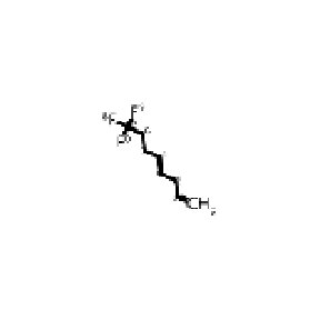 C=CCCCCCC(F)(F)F